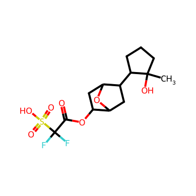 CC1(O)CCCC1C1CC2OC1CC2OC(=O)C(F)(F)S(=O)(=O)O